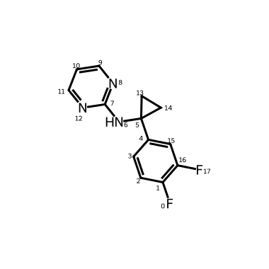 Fc1ccc(C2(Nc3ncccn3)CC2)cc1F